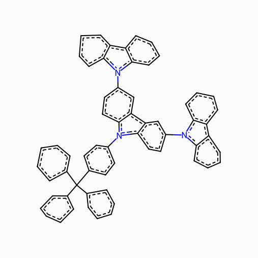 c1ccc(C(c2ccccc2)(c2ccccc2)c2ccc(-n3c4ccc(-n5c6ccccc6c6ccccc65)cc4c4cc(-n5c6ccccc6c6ccccc65)ccc43)cc2)cc1